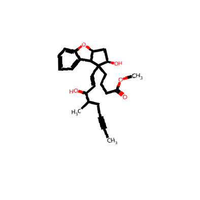 CC#CCC(C)C(O)C=CC1(CCCC(=O)OC)C(O)CC2Oc3ccccc3C21